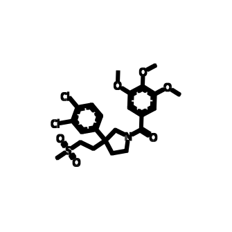 COc1cc(C(=O)N2CCC(CCS(C)(=O)=O)(c3ccc(Cl)c(Cl)c3)C2)cc(OC)c1OC